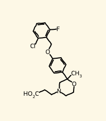 CC1(c2ccc(OCc3c(F)cccc3Cl)cc2)CN(CCC(=O)O)CCO1